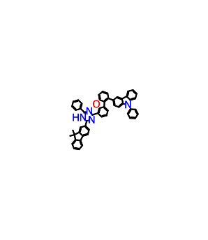 CC1(C)c2ccccc2-c2ccc(C3N=C(c4cccc5c4oc4cccc(-c6ccc7c(c6)c6ccccc6n7-c6ccccc6)c45)N=C(c4ccccc4)N3)cc21